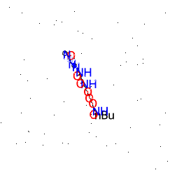 CCCCC(=O)NCCCOCCOCCOCCCNC(=O)CCCC(=O)NCCN1CCN(C/C=C/C(=O)N2CCCCC2)CC1